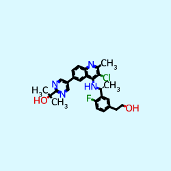 Cc1nc2ccc(-c3cnc(C(C)(C)O)nc3)cc2c(N[C@H](C)c2cc(CCO)ccc2F)c1Cl